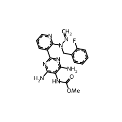 C=NN(Cc1ccccc1F)c1ncccc1-c1nc(N)c(NC(=O)OC)c(N)n1